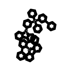 c1ccc(-c2cccc([Si](c3ccccc3)(c3ccccc3)c3cccc(-n4c5ccccc5c5cc(-c6cccc7c8ccccc8n(-c8c(-c9ccccc9)cccc8-c8ccccc8)c67)ccc54)c3)c2)cc1